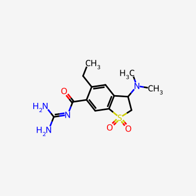 CCc1cc2c(cc1C(=O)N=C(N)N)S(=O)(=O)CC2N(C)C